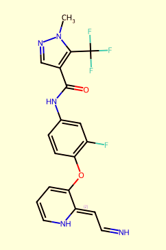 Cn1ncc(C(=O)Nc2ccc(OC3=CC=CN/C3=C\C=N)c(F)c2)c1C(F)(F)F